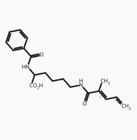 C=C/C=C(\C)C(=O)NCCCCC(NC(=O)c1ccccc1)C(=O)O